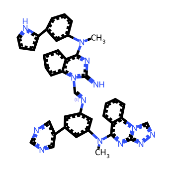 CN(c1cccc(-c2ccc[nH]2)c1)c1nc(=N)n(/C=N/c2cc(-c3cncnc3)cc(N(C)c3nc4nncn4c4ccccc34)c2)c2ccccc12